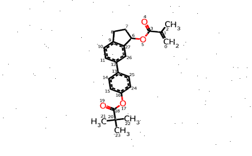 C=C(C)C(=O)OC1CCc2ccc(-c3ccc(OC(=O)C(C)(C)C)cc3)cc21